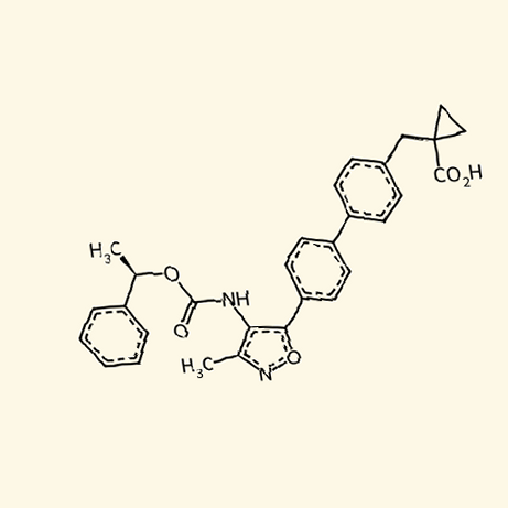 Cc1noc(-c2ccc(-c3ccc(CC4(C(=O)O)CC4)cc3)cc2)c1NC(=O)O[C@H](C)c1ccccc1